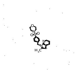 Cc1[c]c2cccnc2n1Cc1ccc(S(=O)(=O)N2CCOCC2)cc1